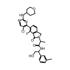 Cc1cccc(C(CO)NC(=O)C(C)N2Cc3ccc(-c4nc(NC5CCOCC5)ncc4Cl)c(F)c3C2=O)c1